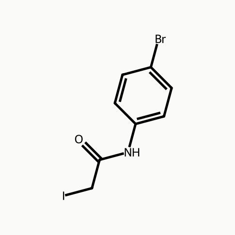 O=C(CI)Nc1ccc(Br)cc1